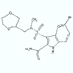 CN(CC1COCCO1)S(=O)(=O)c1c(C(N)=O)[nH]c2ccc(Br)cc12